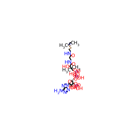 C/C=C(/C)SCCNC(=O)CCNC(=O)C(O)C(C)(C)COP(=O)(O)OP(=O)(O)OC[C@H]1O[C@@H](n2cnc3c(N)ncnc32)[C@H](O)[C@@H]1OP(=O)(O)O